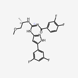 COC[C@H](C)N/C(=N/C(=O)c1ccc(F)c(F)c1)Nc1cc(-c2cc(F)cc(F)c2)[nH]n1